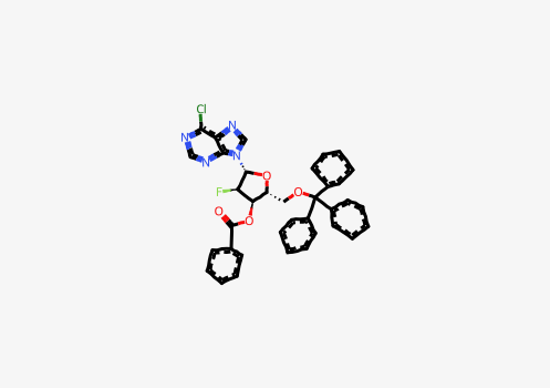 O=C(O[C@H]1[C@@H](F)[C@H](n2cnc3c(Cl)ncnc32)O[C@@H]1COC(c1ccccc1)(c1ccccc1)c1ccccc1)c1ccccc1